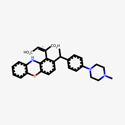 CC(c1ccc(N2CCN(C)CC2)cc1)c1ccc2c(c1/C(=C\C(=O)O)C(=O)O)Nc1ccccc1S2